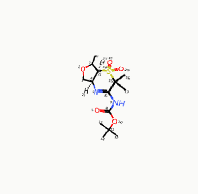 CC1OC[C@@H]2N=C(NC(=O)OC(C)(C)C)C(C)(C)S(=O)(=O)[C@H]12